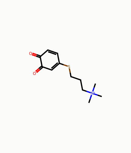 C[N+](C)(C)CCCSC1=CC(=O)C(=O)C=C1